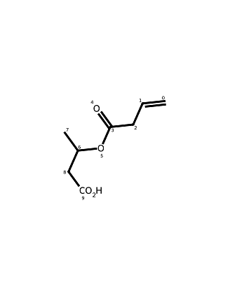 C=CCC(=O)OC(C)CC(=O)O